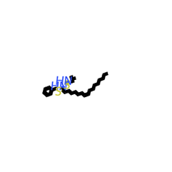 CCCCCCCC/C=C\CCCCCCC(NSNC(C)(C)C)SCc1ccccc1